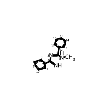 CN/C(=N\C(=N)c1ccccc1)c1ccccc1